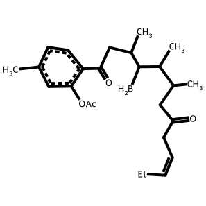 BC(C(C)CC(=O)c1ccc(C)cc1OC(C)=O)C(C)C(C)CC(=O)C/C=C\CC